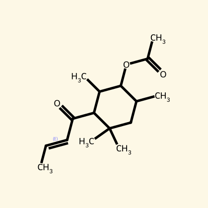 C/C=C/C(=O)C1C(C)C(OC(C)=O)C(C)CC1(C)C